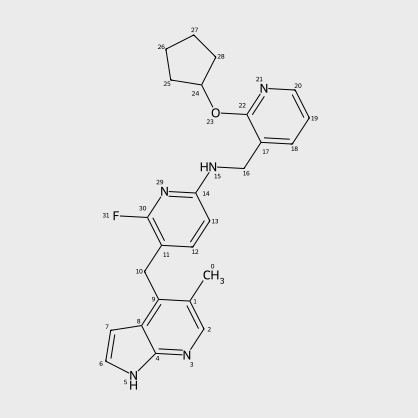 Cc1cnc2[nH]ccc2c1Cc1ccc(NCc2cccnc2OC2CCCC2)nc1F